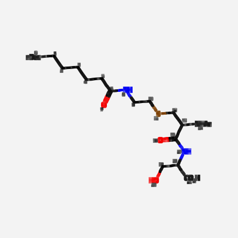 CCCCCCCCCCCCCCCC(=O)NCCSCC(NC(C)=O)C(=O)NC(CO)C(=O)O